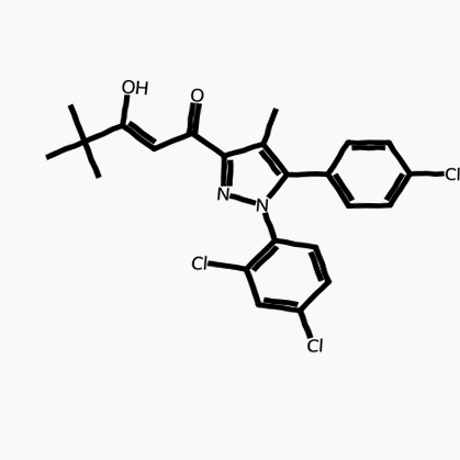 Cc1c(C(=O)C=C(O)C(C)(C)C)nn(-c2ccc(Cl)cc2Cl)c1-c1ccc(Cl)cc1